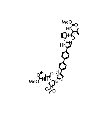 C=C(C)[C@H](NC(=O)OC)C(=O)N1CC=C[C@H]1c1ncc(-c2ccc(-c3ccc(-c4cnc([C@@H]5CN(S(C)(=O)=O)CN5C(=O)[C@@H](NC(=O)OC)C(C)C)[nH]4)cc3)cc2)[nH]1